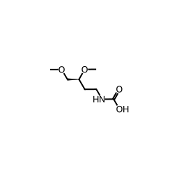 COC[C@H](CCNC(=O)O)OC